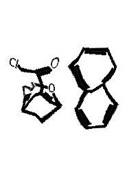 O=C(Cl)c1c2noc1C2.c1ccc2ccccc2c1